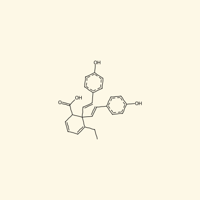 CCC1=CC=CC(C(=O)O)C1(C=Cc1ccc(O)cc1)C=Cc1ccc(O)cc1